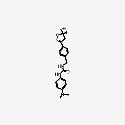 CN(C)c1ccc(NC(=O)NCc2ccc(C3=NOC(O)(F)C3)cc2)cc1